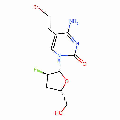 Nc1nc(=O)n([C@@H]2O[C@H](CO)C[C@H]2F)cc1C=CBr